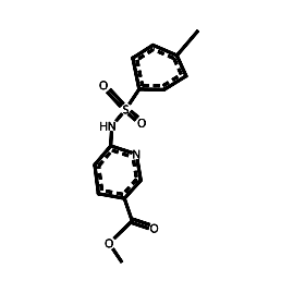 COC(=O)c1ccc(NS(=O)(=O)c2ccc(C)cc2)nc1